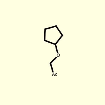 CC(=O)COC1CCCC1